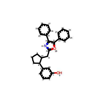 Oc1cccc(C2CCCC2Cc2nc(-c3ccccc3)c(-c3ccccc3)o2)c1